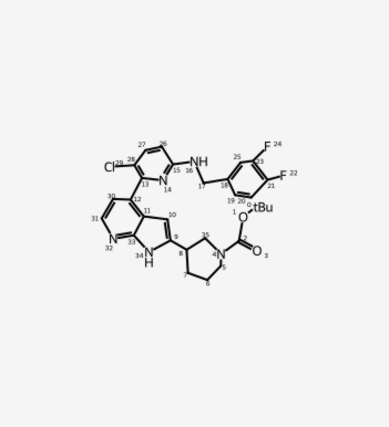 CC(C)(C)OC(=O)N1CCCC(c2cc3c(-c4nc(NCc5ccc(F)c(F)c5)ccc4Cl)ccnc3[nH]2)C1